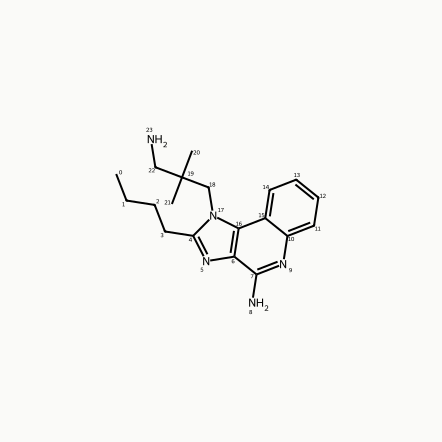 CCCCc1nc2c(N)nc3ccccc3c2n1CC(C)(C)CN